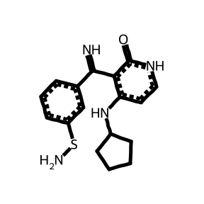 N=C(c1cccc(SN)c1)c1c(NC2CCCC2)cc[nH]c1=O